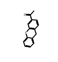 CC(=O)c1ccc2c(c1)Sc1ccccc1C2